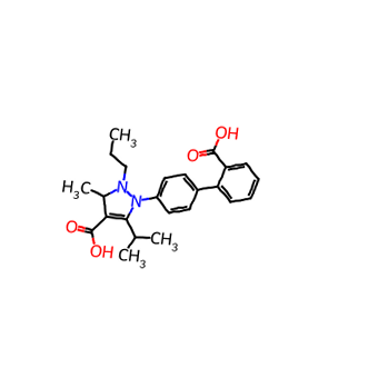 CCCN1C(C)C(C(=O)O)=C(C(C)C)N1c1ccc(-c2ccccc2C(=O)O)cc1